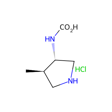 C[C@@H]1CNC[C@H]1NC(=O)O.Cl